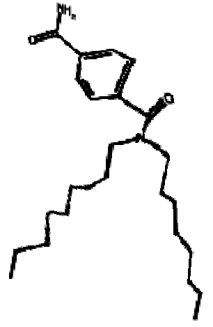 CCCCCCCCN(CCCCCCCC)C(=O)c1ccc(C(N)=O)cc1